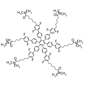 CN(C)C(=O)CCCCCc1cc(F)c(-c2ccc(-c3c(-c4ccc(-c5cc(F)c(CCCCCC(=O)N(C)C)cc5F)cc4)c(-c4ccc(-c5cc(F)c(CCCCCC(=O)N(C)C)cc5F)cc4)c(-c4ccc(-c5cc(F)c(CCCCCC(=O)N(C)C)cc5F)cc4)c(-c4ccc(-c5cc(F)c(CCCCCC(=O)N(C)C)cc5F)cc4)c3-c3ccc(-c4cc(F)c(CCCCCC(=O)N(C)C)cc4F)cc3)cc2)cc1F